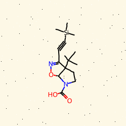 CC(C)(C)C12CCN(C(=O)O)C1ON=C2C#C[Si](C)(C)C